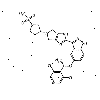 C[C@@H](Oc1ccc2[nH]nc(-c3nc4c([nH]3)CN([C@@H]3CCN(S(C)(=O)=O)C3)C4)c2c1)c1c(Cl)cncc1Cl